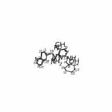 C=Nc1ccc(NCC2(O)CCCCC2)nc1N(N)Cc1ccc2ncccc2c1